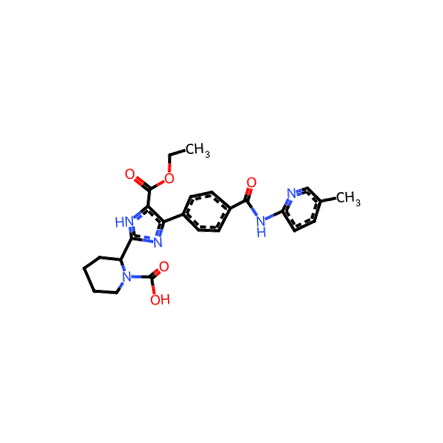 CCOC(=O)c1[nH]c(C2CCCCN2C(=O)O)nc1-c1ccc(C(=O)Nc2ccc(C)cn2)cc1